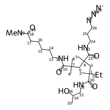 CCC(C)(CC(C)(CC(C)(C)C(=O)NCCCCCC(=O)NC)C(=O)NCCCN=[N+]=[N-])C(=O)NCC(C)O